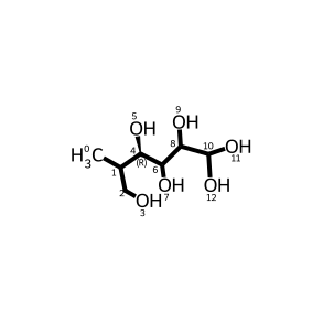 CC(CO)[C@@H](O)C(O)C(O)C(O)O